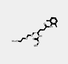 COCCOCOC[C@H](CCC(=O)Nc1c(C)cccc1C)NC(=O)OC(C)(C)C